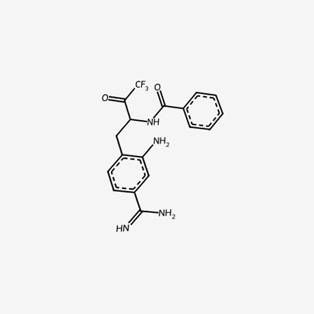 N=C(N)c1ccc(CC(NC(=O)c2ccccc2)C(=O)C(F)(F)F)c(N)c1